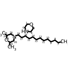 C1COCCN1.CCCCCCCCCCCCCN1CC(C)OC(C)C1